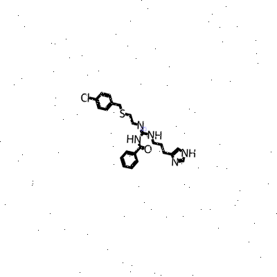 O=C(N/C(=N\CCSCc1ccc(Cl)cc1)NCCCc1c[nH]cn1)c1ccccc1